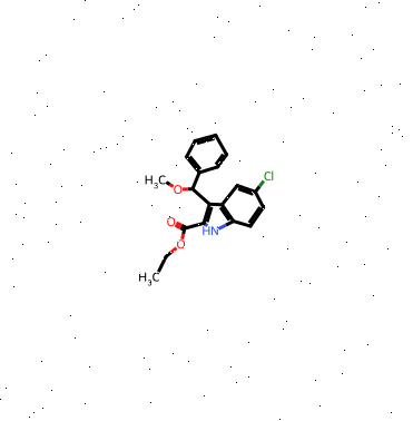 CCOC(=O)c1[nH]c2ccc(Cl)cc2c1C(OC)c1ccccc1